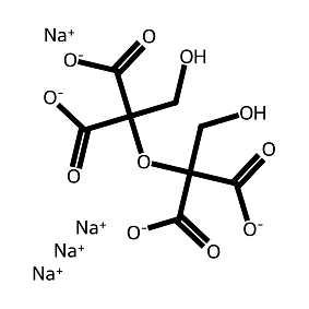 O=C([O-])C(CO)(OC(CO)(C(=O)[O-])C(=O)[O-])C(=O)[O-].[Na+].[Na+].[Na+].[Na+]